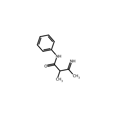 CC(=N)C(C)C(=O)Nc1ccccc1